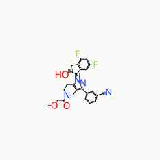 COCC(=O)N1CCc2c(c(-c3cccc(C#N)c3)nn2[C@@H]2c3cc(F)cc(F)c3C[C@@H]2O)C1